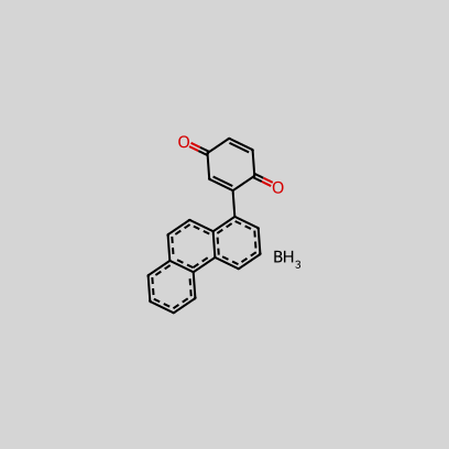 B.O=C1C=CC(=O)C(c2cccc3c2ccc2ccccc23)=C1